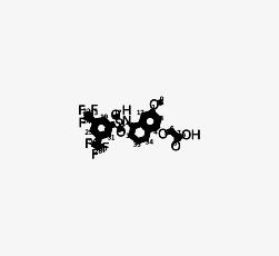 COc1cc(OCC(=O)O)c2c(c1)C(NS(=O)(=O)c1cc(C(F)(F)F)cc(C(F)(F)F)c1)CCC2